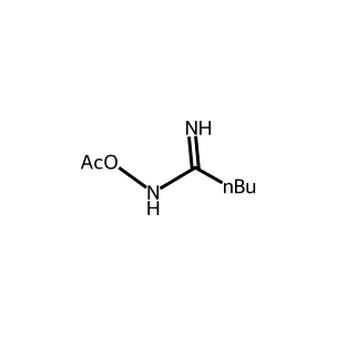 CCCCC(=N)NOC(C)=O